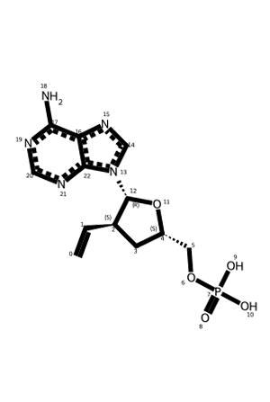 C=C[C@@H]1C[C@@H](COP(=O)(O)O)O[C@H]1n1cnc2c(N)ncnc21